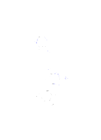 [CH2]c1cnc(NCCNc2cc(-c3cc(C)cc(C)c3)nc(N)n2)cn1